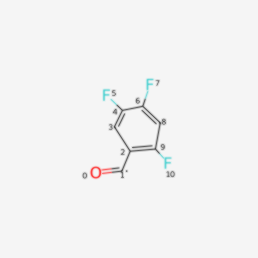 O=[C]c1cc(F)c(F)cc1F